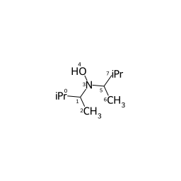 CC(C)C(C)N(O)C(C)C(C)C